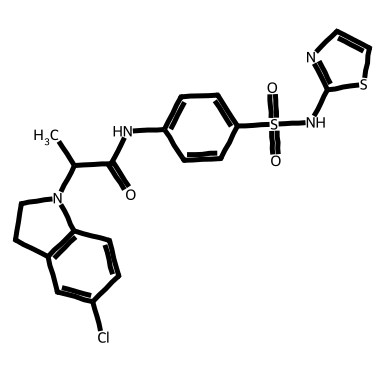 CC(C(=O)Nc1ccc(S(=O)(=O)Nc2nccs2)cc1)N1CCc2cc(Cl)ccc21